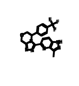 Cc1n[nH]c2ccc(-c3nnc4n3C(c3ccc(C(F)(F)F)cc3)COC4)nc12